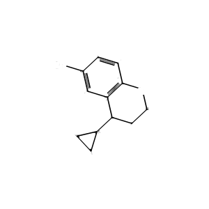 Brc1ccc2c(c1)C(C1CC1)CCS2